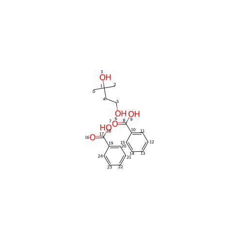 CC(C)(O)CCO.O=C(O)c1ccccc1.O=C(O)c1ccccc1